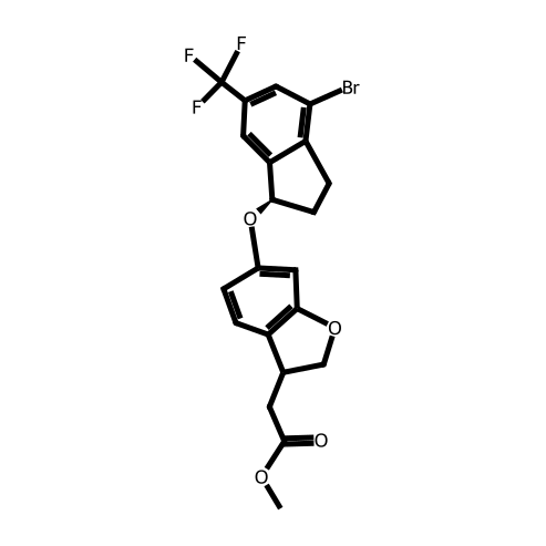 COC(=O)CC1COc2cc(O[C@@H]3CCc4c(Br)cc(C(F)(F)F)cc43)ccc21